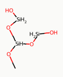 CO[SiH](O[SiH2]O)O[SiH2]O